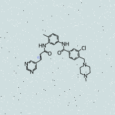 Cc1ccc(NC(=O)c2ccc(CN3CCN(C)CC3)c(Cl)c2)cc1NC(=O)/C=C/c1cncnc1